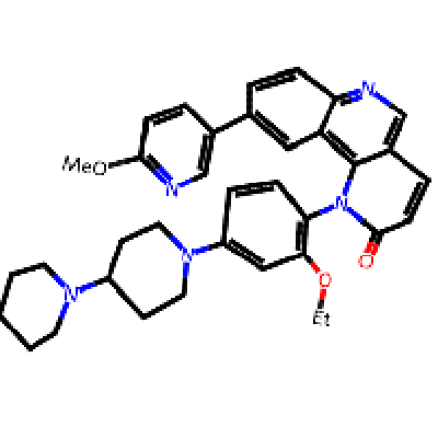 CCOc1cc(N2CCC(N3CCCCC3)CC2)ccc1-n1c(=O)ccc2cnc3ccc(-c4ccc(OC)nc4)cc3c21